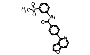 CS(=O)(=O)c1cccc(NC(=O)c2ccc(-c3nccc4occc34)cc2)c1